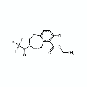 CCOC(=O)c1c(Cl)ccc2c1CCN(C(=O)C(F)(F)F)CC2